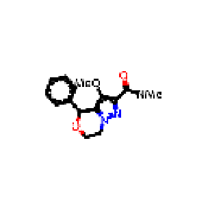 CNC(=O)c1nn2c(c1OC)C(c1ccccc1)OCC2